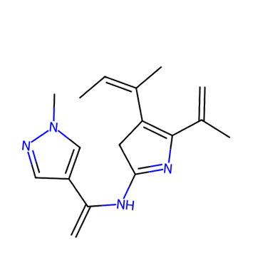 C=C(C)C1=C(/C(C)=C\C)CC(NC(=C)c2cnn(C)c2)=N1